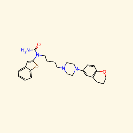 NC(=O)N(CCCCN1CCN(c2ccc3c(c2)CCCO3)CC1)c1cc2ccccc2s1